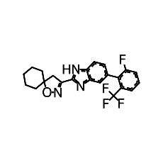 Fc1cccc(C(F)(F)F)c1-c1ccc2[nH]c(C3=NOC4(CCCCC4)C3)nc2c1